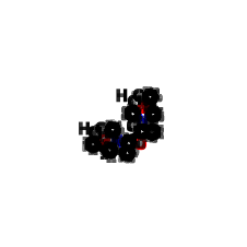 CC1=CC(N(c2cc3c4cc(N(c5cccc(C)c5)c5cccc6c5oc5c(C)cccc56)c5ccccc5c4oc3c3ccccc23)c2cccc3c2oc2c(C)cccc23)C(C)C=C1